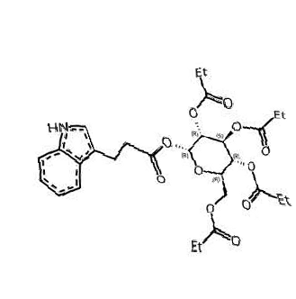 CCC(=O)OC[C@H]1O[C@H](OC(=O)CCc2c[nH]c3ccccc23)[C@H](OC(=O)CC)[C@@H](OC(=O)CC)[C@@H]1OC(=O)CC